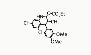 CCOC(=O)OC1Nc2cc(Cl)cc(Cl)c2C(c2ccc(OC)c(OC)c2)C1C